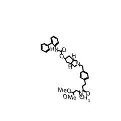 COC(CN(C)C(=O)CCc1ccc(CN2C[C@H]3CC(OC(=O)Nc4ccccc4-c4ccccc4)C[C@H]3C2)cc1)OC